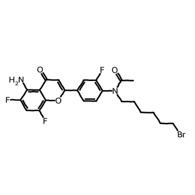 CC(=O)N(CCCCCCBr)c1ccc(-c2cc(=O)c3c(N)c(F)cc(F)c3o2)cc1F